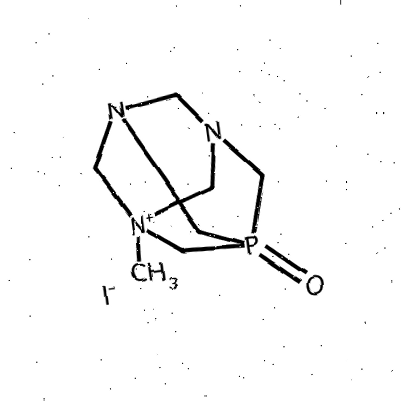 C[N+]12CN3CN(C1)CP(=O)(C3)C2.[I-]